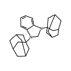 c1ccc2c(c1)N(C13CC4CC(CC(C4)C1)C3)CN2C12CC3CC(CC(C3)C1)C2